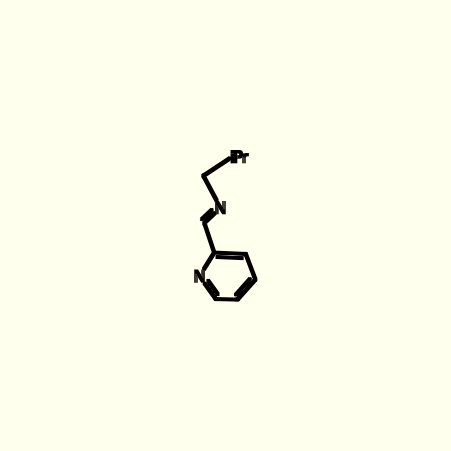 CC(C)C/N=C/c1ccccn1